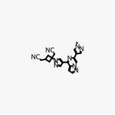 Cn1cc(-c2cn3nccc3c(-c3cnn(C4(CC#N)CC(CC#N)C4)c3)n2)cn1